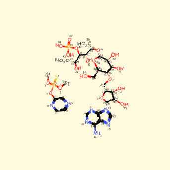 CCOP(=S)(OCC)Oc1cnccn1.Nc1ncnc2c1ncn2[C@@H]1O[C@H](CO[C@H]2[C@H](O)[C@@H](O)[C@@H](O[C@@H](C(=O)O)[C@H](O)[C@H](OP(=O)(O)O)[C@H](O)C(=O)O)O[C@@H]2CO)[C@@H](O)[C@H]1O